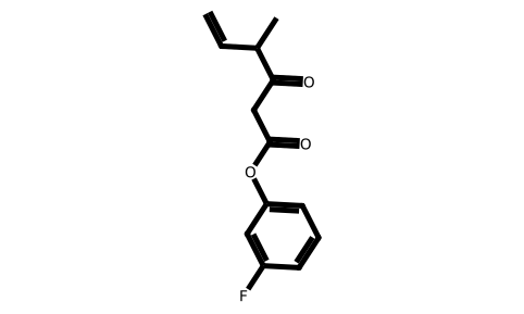 C=CC(C)C(=O)CC(=O)Oc1cccc(F)c1